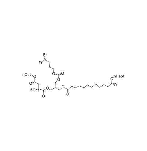 CCCCCCCCOC(CCC(=O)OCC(COC(=O)CCCCCCCCCCC(=O)OCCCCCCC)COC(=O)OCCCN(CC)CC)OCCCCCCCC